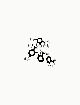 CC1CCC(C(C)C)C(Nc2ccccc2C(=O)O)C1.CC1CCC(C(C)C)C(O)C1.Nc1ccccc1C(=O)O